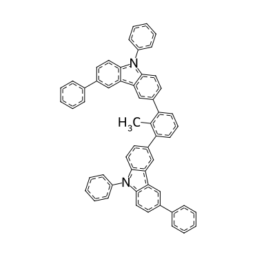 Cc1c(-c2ccc3c(c2)c2cc(-c4ccccc4)ccc2n3-c2ccccc2)cccc1-c1ccc2c(c1)c1cc(-c3ccccc3)ccc1n2-c1ccccc1